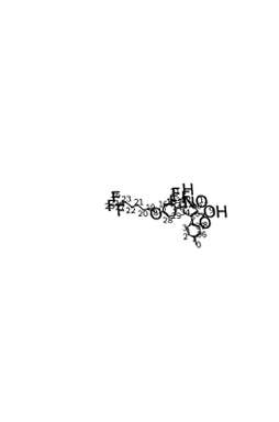 Cc1ccc(C2=C(C(=O)O)C(=O)N[C@@](c3ccc(OCCCCCC(F)(F)F)cc3)(C(F)(F)F)C2)cc1